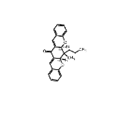 CCCC1(C)[C@@H]2Oc3ccccc3C=C2C(=O)C2=Cc3ccccc3O[C@H]21